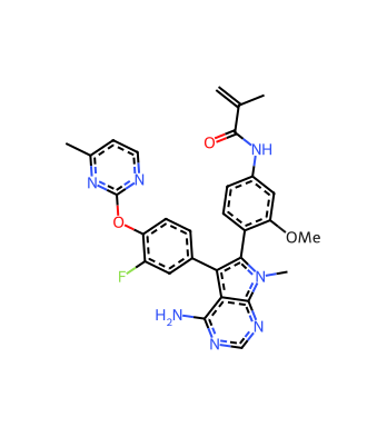 C=C(C)C(=O)Nc1ccc(-c2c(-c3ccc(Oc4nccc(C)n4)c(F)c3)c3c(N)ncnc3n2C)c(OC)c1